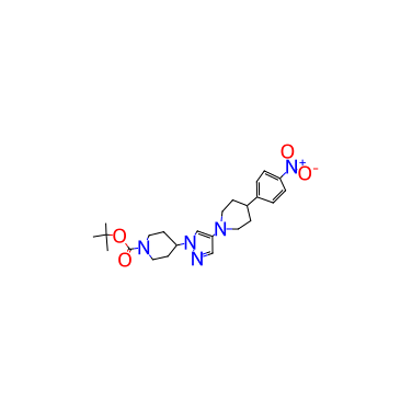 CC(C)(C)OC(=O)N1CCC(n2cc(N3CCC(c4ccc([N+](=O)[O-])cc4)CC3)cn2)CC1